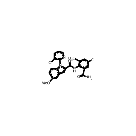 COc1ccc2c(c1)cc(C(=O)Nc1c(C)cc(Cl)cc1C(N)=O)n2-c1ncccc1Cl